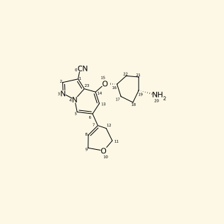 N#Cc1cnn2cc(C3=CCOCC3)cc(O[C@H]3CC[C@@H](N)CC3)c12